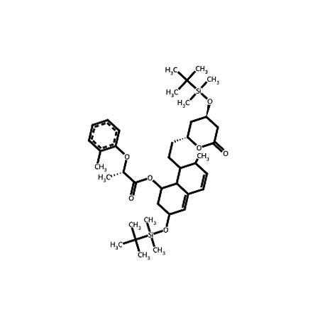 Cc1ccccc1O[C@@H](C)C(=O)OC1CC(O[Si](C)(C)C(C)(C)C)C=C2C=CC(C)C(CC[C@@H]3C[C@@H](O[Si](C)(C)C(C)(C)C)CC(=O)O3)C21